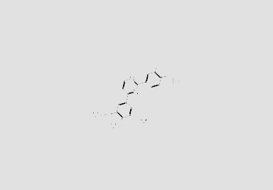 CCOc1ccc(-c2nccc(-c3cc(OC)c(OC)c(OC)c3)n2)cc1F